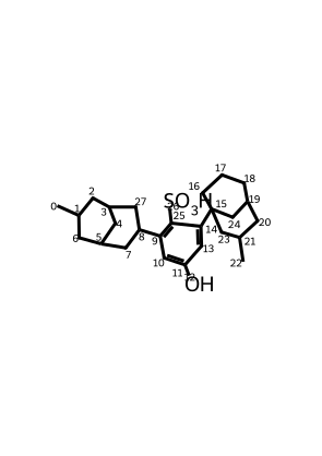 CC1CC2CC(C1)CC(c1cc(O)cc(C34CCCC(CC(C)C3)C4)c1S(=O)(=O)O)C2